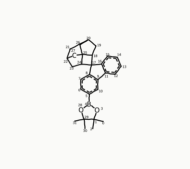 CC1(C)OB(c2ccc3c(c2)-c2ccccc2C32C3CC4CC5CC2C3(C4)C5)OC1(C)C